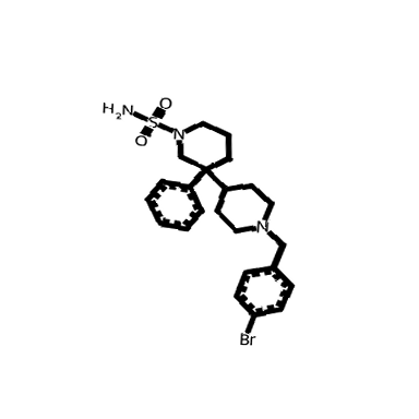 NS(=O)(=O)N1CCCC(c2ccccc2)(C2CCN(Cc3ccc(Br)cc3)CC2)C1